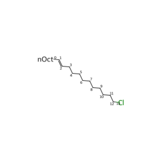 CCCCCCCCC=CCCCCCCCCCCCl